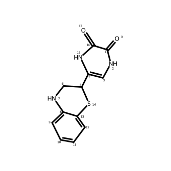 O=c1[nH]cc(C2CNc3ccccc3S2)[nH]c1=O